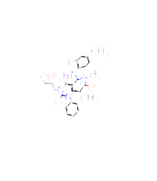 Cc1ccc(Nc2c3c(=O)n(CCCO)c(=O)n(-c4ccccc4)c3c(C)c(=O)n2C)c(F)c1